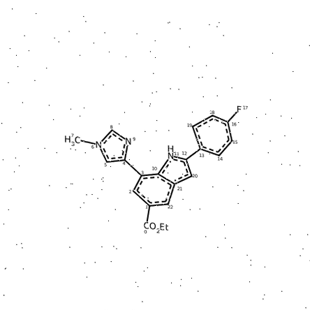 CCOC(=O)c1cc(-c2cn(C)cn2)c2[nH]c(-c3ccc(F)cc3)cc2c1